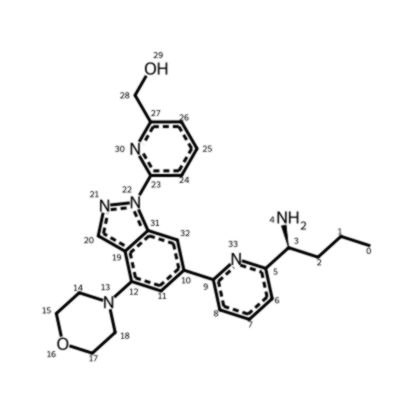 CCC[C@H](N)c1cccc(-c2cc(N3CCOCC3)c3cnn(-c4cccc(CO)n4)c3c2)n1